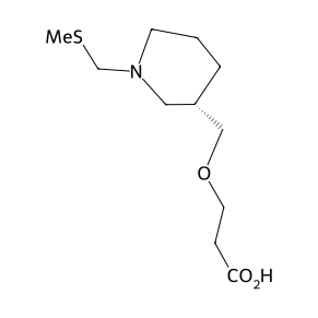 CSCN1CCC[C@H](COCCC(=O)O)C1